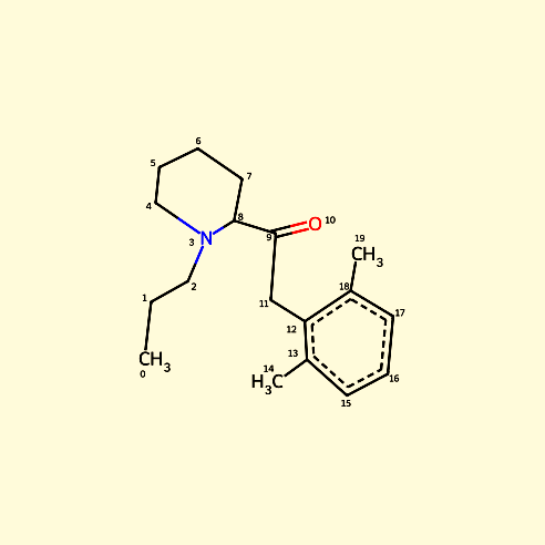 CCCN1CCCCC1C(=O)Cc1c(C)cccc1C